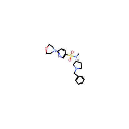 CN([C@@H]1CCN(Cc2ccccc2)C1)S(=O)(=O)c1ccc(N2CCOCC2)nc1